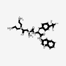 NCCN(CCN)C(=O)CN(N)C(=O)N[C@@H](Cc1ccc(C(F)(F)F)cc1)C(=O)Nc1cnc2ccccc2c1